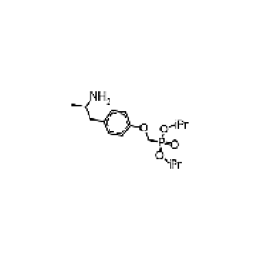 CC(C)OP(=O)(COc1ccc(C[C@@H](C)N)cc1)OC(C)C